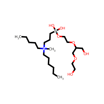 CCCCCC[N+](C)(CCCCC)CCC[Si](O)(O)OCCOC(CO)COCCO